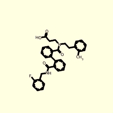 Cc1ccccc1CCN(CCC(=O)O)C(=O)c1ccccc1-c1ccccc1C(=O)NCc1ccccc1F